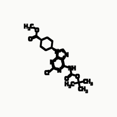 COC(=O)[C@H]1CC[C@@H](n2cnc3c(NC(=O)OC(C)(C)C)nc(Cl)nc32)CC1